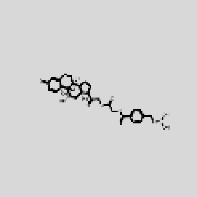 C[C@]12C[C@H](O)C3(F)[C@@H](CCC4=CC(=O)C=C[C@@]43C)C1CCC2C(=O)COC(=O)CNC(=O)c1ccc(CON(O)O)cc1